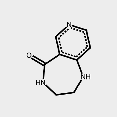 O=C1NCCNc2ccncc21